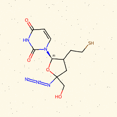 [N-]=[N+]=NC1(CO)CC(CCS)[C@H](n2ccc(=O)[nH]c2=O)O1